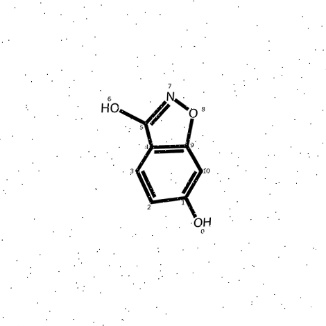 Oc1ccc2c(O)noc2c1